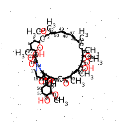 COC1CC2CCC(C)C(O)(O2)C(=O)C(=O)N2CCCC3C2C(=O)O[C@@H](CC(=O)C(C)/C=C(\C)C(O)[C@@H](OC)C(=O)C(C)C[C@H](C)/C=C/C=C/C=C/1C)[C@H]3CC1CCC(O)C(OC)C1